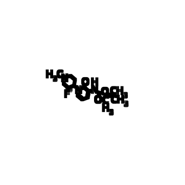 CN1CCC(n2cccc(NC(=O)OC(C)(C)C)c2=O)[C@H](F)C1